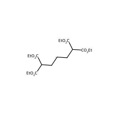 CCOC(=O)C(C[CH]CC(C(=O)OCC)C(=O)OCC)C(=O)OCC